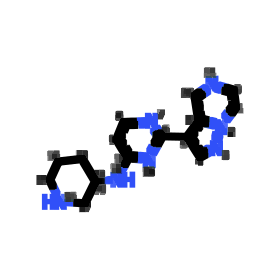 c1cn2ncc(-c3nccc(N[C@@H]4CCCNC4)n3)c2cn1